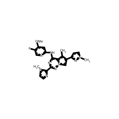 COc1cc(Nc2nc(-c3nccn3C)nn3cc(-c4ccn(C)n4)c(C)c23)ncc1F